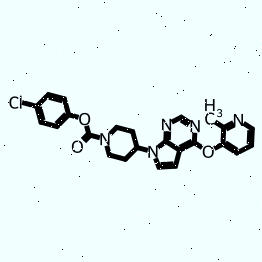 Cc1ncccc1Oc1ncnc2c1ccn2C1CCN(C(=O)Oc2ccc(Cl)cc2)CC1